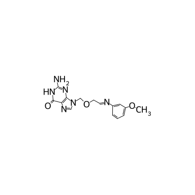 COc1cccc(N=CCOCn2cnc3c(=O)[nH]c(N)nc32)c1